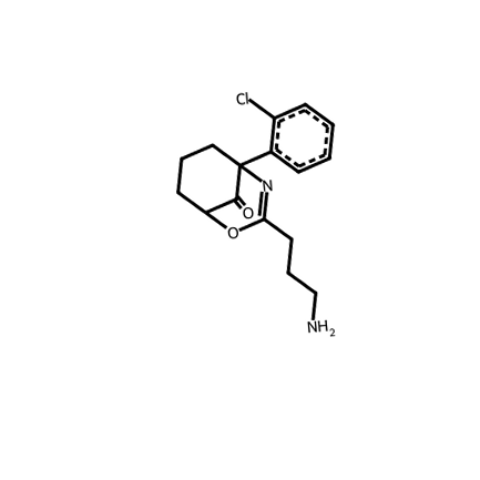 NCCCC1=NC2(c3ccccc3Cl)CCCC(O1)C2=O